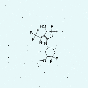 CO[C@@H]1C[C@H](n2nc(C(F)(F)F)c3c2CC(F)(F)[C@H]3O)CCC1(F)F